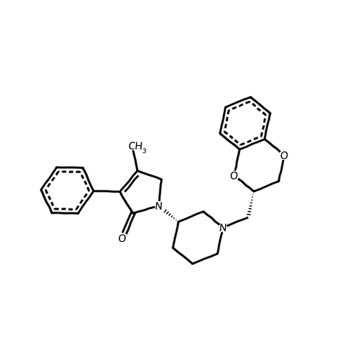 CC1=C(c2ccccc2)C(=O)N([C@H]2CCCN(C[C@H]3COc4ccccc4O3)C2)C1